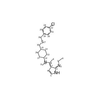 CC/N=C1/NC=C/C1=C(/C)N(C)C1CCC(CSCc2ccc(Cl)cc2)CC1